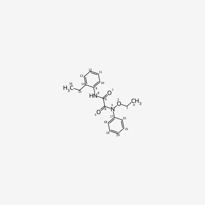 CCON(C(=O)C(=O)Nc1ccccc1CC)c1ccccc1